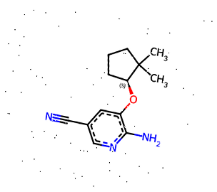 CC1(C)CCC[C@@H]1Oc1cc(C#N)cnc1N